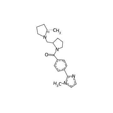 C[C@H]1CCCN1CC1CCCN1C(=O)c1ccc(-c2nccn2C)cc1